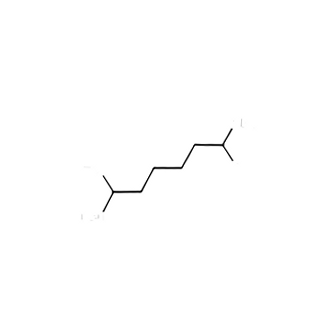 CCCCC(O)CCCCC(O)CCCC